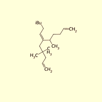 C=CCCC(C)C(=CCC(C)CC)CC(C)(C)CC=C